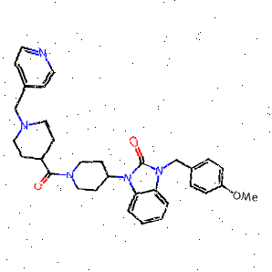 COc1ccc(Cn2c(=O)n(C3CCN(C(=O)C4CCN(Cc5ccncc5)CC4)CC3)c3ccccc32)cc1